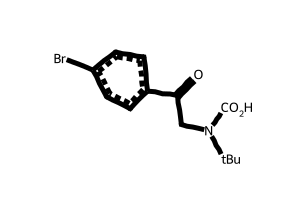 CC(C)(C)N(CC(=O)c1ccc(Br)cc1)C(=O)O